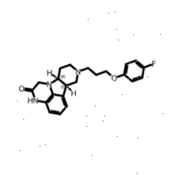 O=C1CN2c3c(cccc3[C@H]3CN(CCCOc4ccc(F)cc4)CC[C@H]32)N1